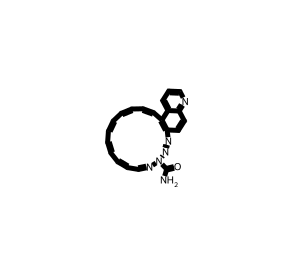 NC(=O)n1ncccccccccccc2c(ccc3ncccc32)nn1